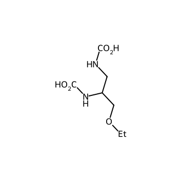 CCOCC(CNC(=O)O)NC(=O)O